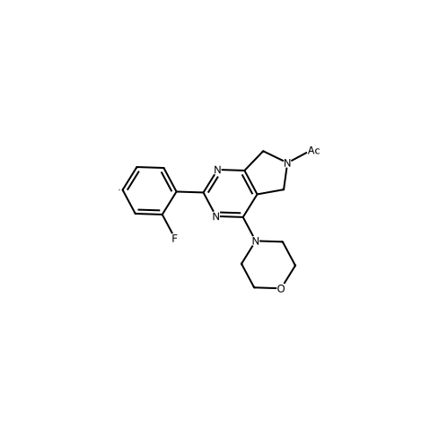 CC(=O)N1Cc2nc(-c3cc[c]cc3F)nc(N3CCOCC3)c2C1